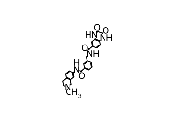 CN1CCc2ccc(NC(=O)c3cccc(CNC(=O)c4ccc5[nH]c(=O)c(=O)[nH]c5c4)c3)cc2C1